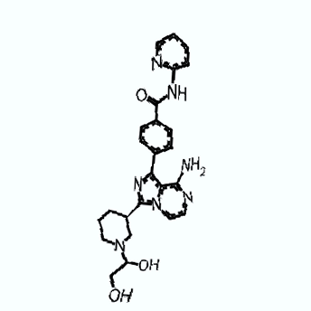 Nc1nccn2c([C@@H]3CCCN(C(O)CO)C3)nc(-c3ccc(C(=O)Nc4ccccn4)cc3)c12